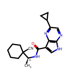 C[C@H](NC(=O)c1c[nH]c2ncc(C3CC3)nc12)C1(C#N)CCCCC1